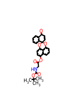 CC(C)(C)OC(=O)NCC(=O)Oc1ccc2c3c(cccc13)OC1(C=CC(=O)c3ccccc31)O2